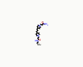 CC(C)(C)CCNC(=O)CCN1CCC(CCCC2CCN(CCC(N)=O)CC2)CC1